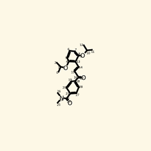 CC(C)Oc1cccc(OC(C)C)c1/C=C/C(=O)c1ccc(C(=O)N(C)C)cc1